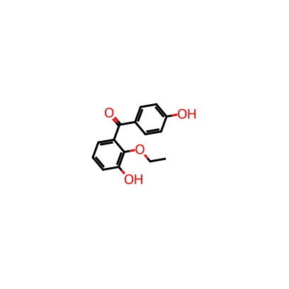 CCOc1c(O)cccc1C(=O)c1ccc(O)cc1